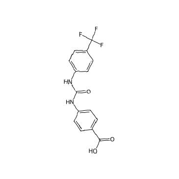 O=C(Nc1ccc(C(=O)O)cc1)Nc1ccc(C(F)(F)F)cc1